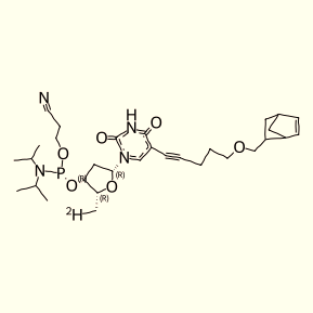 [2H]C[C@H]1O[C@@H](n2cc(C#CCCCOCC3CC4C=CC3C4)c(=O)[nH]c2=O)C[C@H]1OP(OCCC#N)N(C(C)C)C(C)C